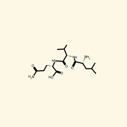 CC(C)C[C@@H](N)C(=O)N[C@H](C(=O)N[C@@H](CCC(N)=O)C(=O)O)C(C)C